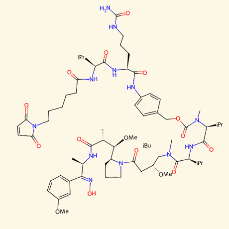 CC[C@H](C)C([C@@H](CC(=O)N1CCC[C@H]1[C@H](OC)[C@@H](C)C(=O)N[C@H](C)/C(=N/O)c1cccc(OC)c1)OC)N(C)C(=O)[C@@H](NC(=O)[C@H](C(C)C)N(C)C(=O)OCc1ccc(NC(=O)[C@H](CCCNC(N)=O)NC(=O)[C@@H](NC(=O)CCCCCN2C(=O)C=CC2=O)C(C)C)cc1)C(C)C